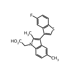 Cc1ccc2c(c1)c(-c1csc3ccc(F)cc13)c(C)n2CC(=O)O